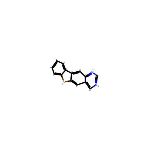 c1ccc2c(c1)sc1cc3cncnc3cc12